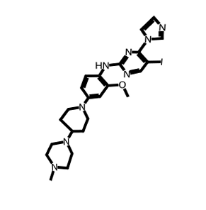 COc1cc(N2CCC(N3CCN(C)CC3)CC2)ccc1Nc1ncc(I)c(-n2ccnc2)n1